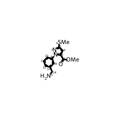 COC(=O)c1cc(SC)nn1-c1cccc(CN)c1